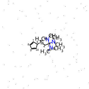 CN(C)C([CH2][Ti][CH]1C=CC=C1)(N(C)C)N(C)C